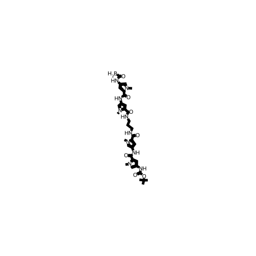 BC(=O)Nc1cc(C(=O)Nc2cc(C(=O)NCCCNC(=O)c3cc(NC(=O)c4cc(NC(=O)OC(C)(C)C)cn4C)cn3C)n(C)c2)n(C)c1